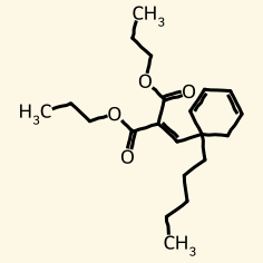 CCCCCC1(C=C(C(=O)OCCC)C(=O)OCCC)C=CC=CC1